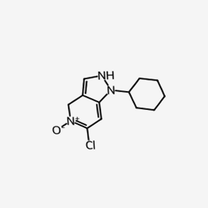 [O-][N+]1=C(Cl)C=C2C(=CNN2C2CCCCC2)C1